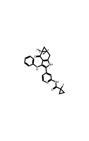 C[C@@]12Cc3[nH]c(-c4ccnc(NC(=O)C5(F)CC5)c4)c(Nc4ccccc4)c3C(=O)[C@@H]1C2